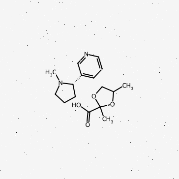 CC1COC(C)(C(=O)O)O1.CN1CCC[C@H]1c1cccnc1